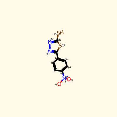 O=[N+]([O-])c1ccc(-c2nnc(S)s2)cc1